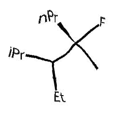 CCC[C@](C)(F)C(CC)C(C)C